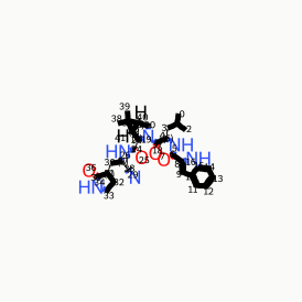 CC(C)C[C@H](NC(=O)c1cc2ccccc2[nH]1)C(=O)N1C[C@H]2[C@@H]([C@H]1C(=O)N[C@H](C#N)C[C@@H]1CCNC1=O)C2(C)C